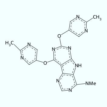 CNc1ncnc2c1[nH]c1nc(Oc3cnc(C)nc3)nc(Oc3cnc(C)nc3)c12